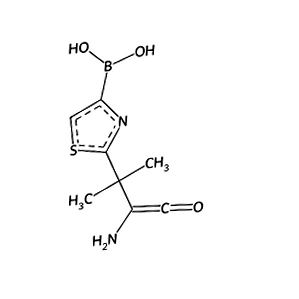 CC(C)(C(N)=C=O)c1nc(B(O)O)cs1